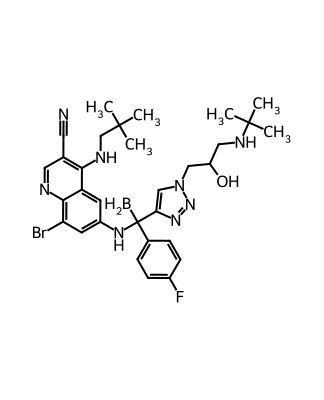 BC(Nc1cc(Br)c2ncc(C#N)c(NCC(C)(C)C)c2c1)(c1ccc(F)cc1)c1cn(CC(O)CNC(C)(C)C)nn1